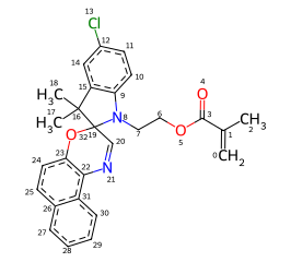 C=C(C)C(=O)OCCN1c2ccc(Cl)cc2C(C)(C)C12C=Nc1c(ccc3ccccc13)O2